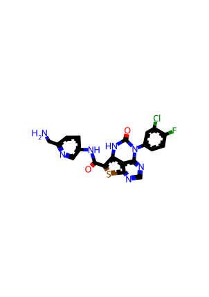 NCc1ccc(NC(=O)c2sc3ncnc4c3c2NC(=O)N4c2ccc(F)c(Cl)c2)cn1